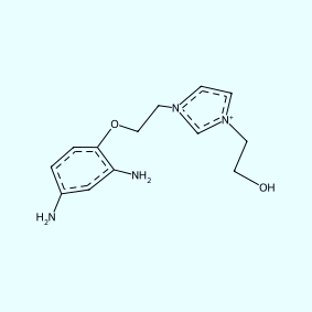 Nc1ccc(OCCn2cc[n+](CCO)c2)c(N)c1